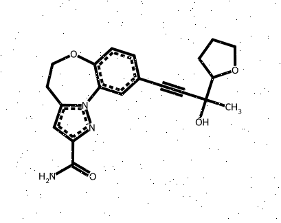 CC(O)(C#Cc1ccc2c(c1)-n1nc(C(N)=O)cc1CCO2)C1CCCO1